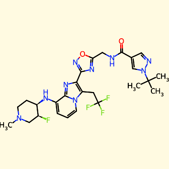 CN1CC[C@@H](Nc2cccn3c(CC(F)(F)F)c(-c4noc(CNC(=O)c5cnn(C(C)(C)C)c5)n4)nc23)[C@@H](F)C1